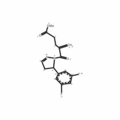 C=C(CCC(=O)OC)C(=O)N1N=CCC1c1cc(F)cc(F)c1